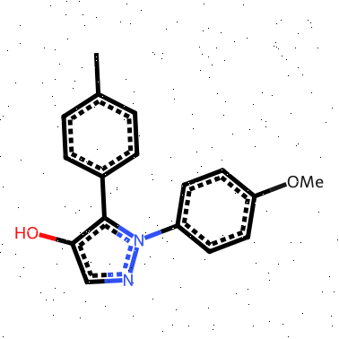 COc1ccc(-n2ncc(O)c2-c2ccc(C)cc2)cc1